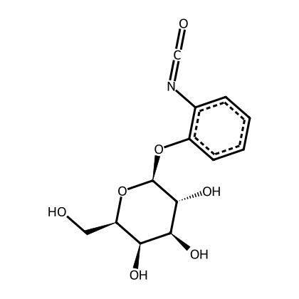 O=C=Nc1ccccc1O[C@@H]1O[C@H](CO)[C@H](O)[C@H](O)[C@H]1O